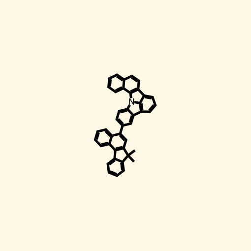 CC1(C)c2ccccc2-c2c1cc(-c1ccc3c(c1)c1cccc4c5ccc6ccccc6c5n3c14)c1ccccc21